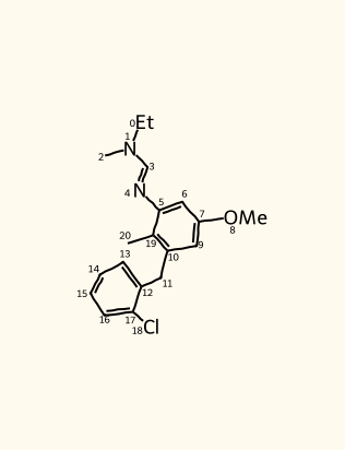 CCN(C)C=Nc1cc(OC)cc(Cc2ccccc2Cl)c1C